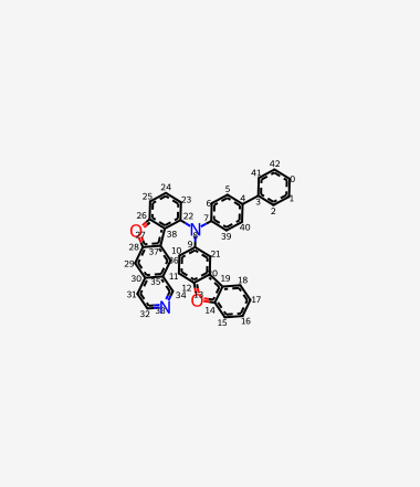 c1ccc(-c2ccc(N(c3ccc4oc5ccccc5c4c3)c3cccc4oc5cc6ccncc6cc5c34)cc2)cc1